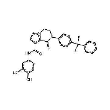 N#Cc1cc(NC(=O)c2cnn3c2C(=O)N(c2ccc(C(F)(F)c4ccccc4)cc2)CC3)ccc1O